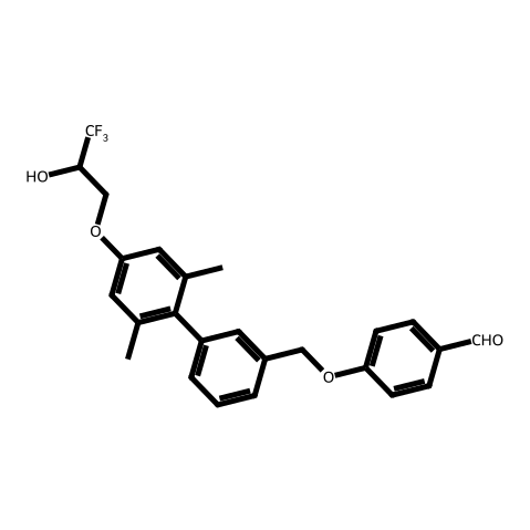 Cc1cc(OCC(O)C(F)(F)F)cc(C)c1-c1cccc(COc2ccc(C=O)cc2)c1